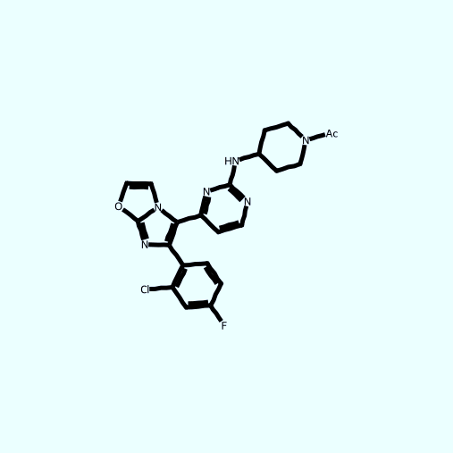 CC(=O)N1CCC(Nc2nccc(-c3c(-c4ccc(F)cc4Cl)nc4occn34)n2)CC1